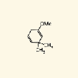 COC1=CC(C)(C)C=CC1